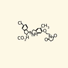 CCCN(Cc1ccc(OCCN2C(=O)CCC2=O)c(C)c1)C1c2ccc(Cl)cc2CC1C(=O)O